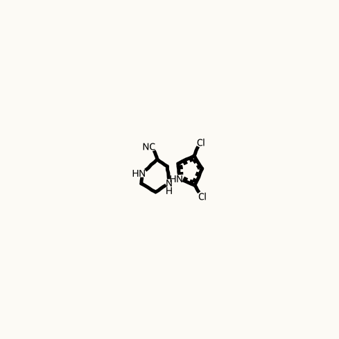 Clc1c[nH]c(Cl)c1.N#CC1CNCCN1